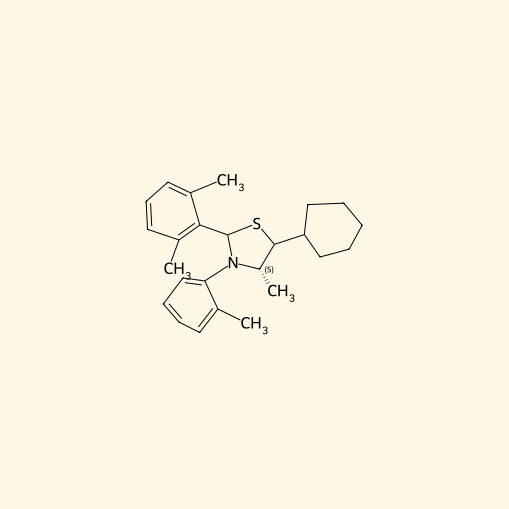 Cc1ccccc1N1C(c2c(C)cccc2C)SC(C2CCCCC2)[C@@H]1C